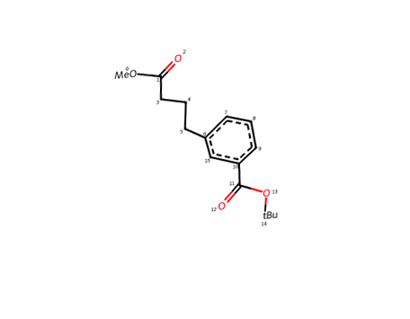 COC(=O)CCCc1cccc(C(=O)OC(C)(C)C)c1